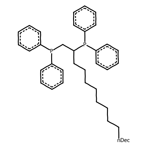 CCCCCCCCCCCCCCCCCCC(CP(c1ccccc1)c1ccccc1)P(c1ccccc1)c1ccccc1